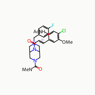 CNC(=O)N1CC2CN(Cc3ccc(F)cc3)CC(C1)N2C(=O)/C=C/c1cc(OC)c(Cl)cc1NC(C)=O